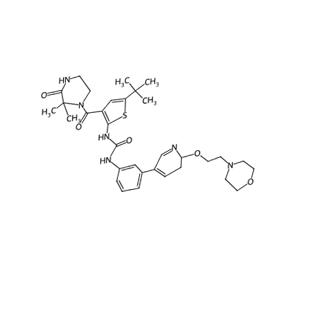 CC(C)(C)c1cc(C(=O)N2CCNC(=O)C2(C)C)c(NC(=O)Nc2cccc(C3=CCC(OCCN4CCOCC4)N=C3)c2)s1